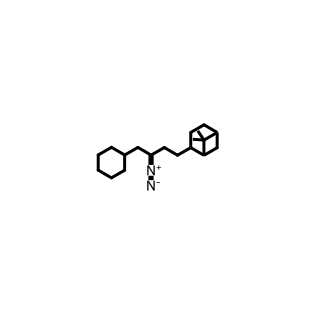 CC1(C)C2CCC(CCC(CC3CCCCC3)=[N+]=[N-])C1C2